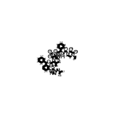 CCN1CCN(C(=O)NC(C(=O)N[C@]2(NC=O)C(=O)N3C(C(=O)OC(c4ccccc4)c4ccccc4)=C(CSc4nnnn4N=C(C)C)CS[C@H]32)c2ccccc2)C(=O)C1=O